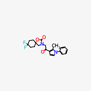 Cc1c(C(=O)CN2CC3(CCC(F)(F)CC3)OC2=O)ccn1-c1ccccc1